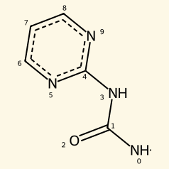 [NH]C(=O)Nc1ncccn1